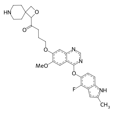 COc1cc2c(Oc3ccc4[nH]c(C)cc4c3F)ncnc2cc1OCCCC(=O)C1OCC12CCNCC2